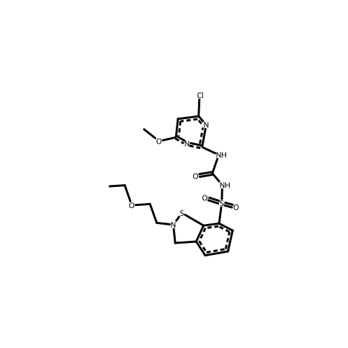 CCOCCN1Cc2cccc(S(=O)(=O)NC(=O)Nc3nc(Cl)cc(OC)n3)c2S1